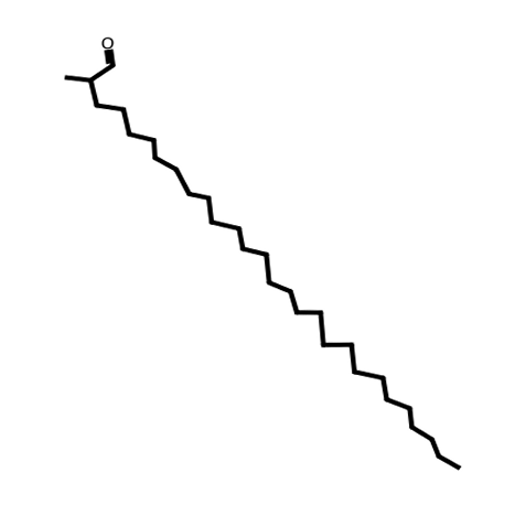 CCCCCCCCCCCCCCCCCCCCCCCCCCC(C)C=O